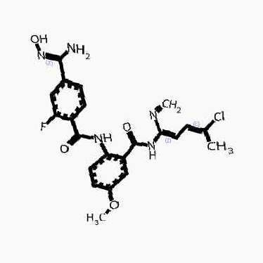 C=N/C(=C\C=C(/C)Cl)NC(=O)c1cc(OC)ccc1NC(=O)c1ccc(/C(N)=N/O)cc1F